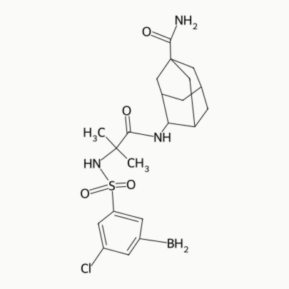 Bc1cc(Cl)cc(S(=O)(=O)NC(C)(C)C(=O)NC2C3CC4CC2CC(C(N)=O)(C4)C3)c1